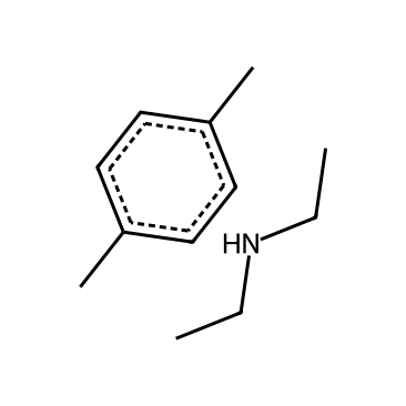 CCNCC.Cc1ccc(C)cc1